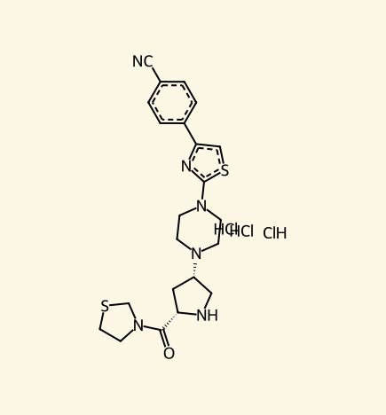 Cl.Cl.Cl.N#Cc1ccc(-c2csc(N3CCN([C@@H]4CN[C@H](C(=O)N5CCSC5)C4)CC3)n2)cc1